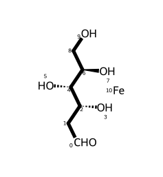 O=CC[C@@H](O)[C@H](O)[C@H](O)CO.[Fe]